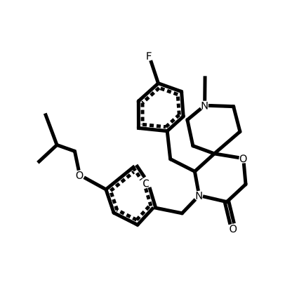 CC(C)COc1ccc(CN2C(=O)COC3(CCN(C)CC3)C2Cc2ccc(F)cc2)cc1